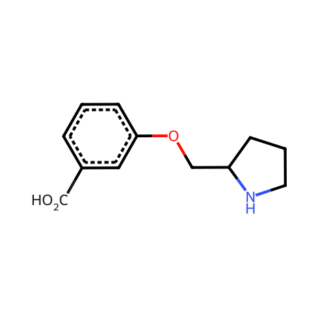 O=C(O)c1cccc(OCC2CCCN2)c1